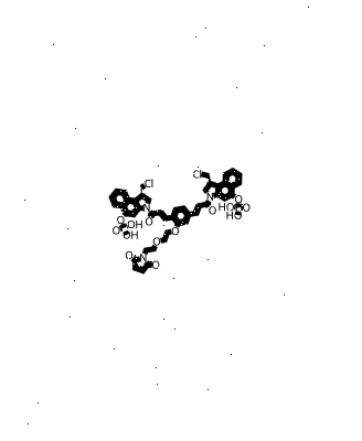 O=C1C=CC(=O)N1CCOCCOc1cc(C=CC(=O)N2C[C@@H](CCl)c3c2cc(OP(=O)(O)O)c2ccccc32)ccc1C=CC(=O)N1C[C@@H](CCl)c2c1cc(OP(=O)(O)O)c1ccccc21